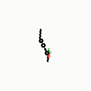 CCCCCCCc1ccc([C@H]2CC[C@H](C#Cc3ccc(OCCCC)c(F)c3F)CC2)cc1